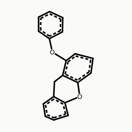 c1ccc(Oc2cccc3c2Cc2ccccc2O3)cc1